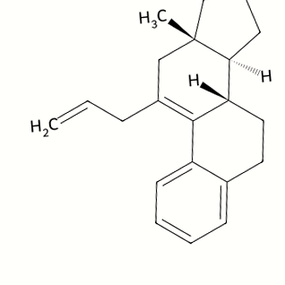 C=CCC1=C2c3ccccc3CC[C@H]2[C@@H]2CCC[C@@]2(C)C1